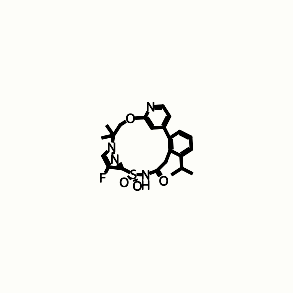 CC(C)c1cccc2c1CC(=O)NS(=O)(=O)c1nn(cc1F)C(C)(C)COc1cc-2ccn1